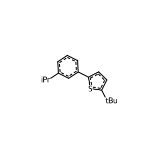 CC(C)c1cccc(-c2ccc(C(C)(C)C)s2)c1